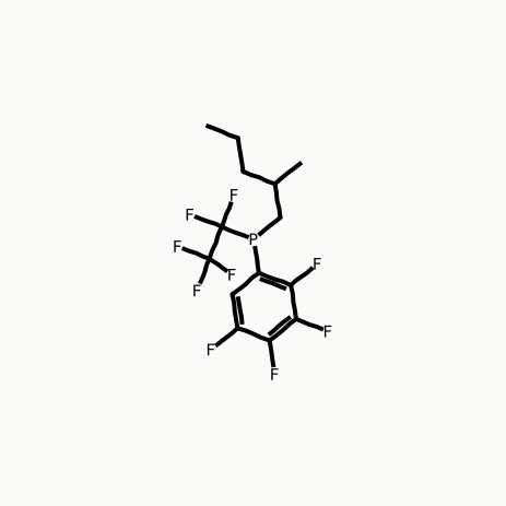 CCCC(C)CP(c1cc(F)c(F)c(F)c1F)C(F)(F)C(F)(F)F